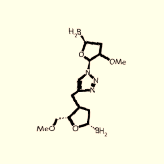 B[C@H]1CC(Cc2cn([C@H]3O[C@@H](B)CC3OC)nn2)[C@@H](COC)O1